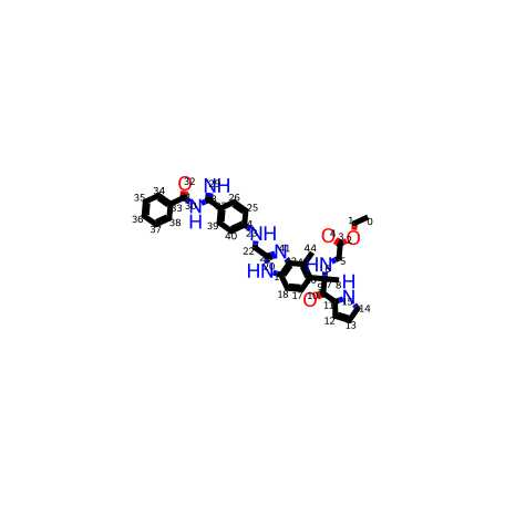 CCOC(=O)CNC(C)(C(=O)C1C=CCN1)c1ccc2[nH]c(CNc3ccc(C(=N)NC(=O)c4ccccc4)cc3)nc2c1C